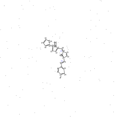 Cc1ccc(/C=C/C2=NC(=C\c3ccc(-c4cccs4)[nH]3)/C=C2)cc1